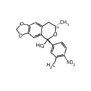 Cc1cc(C2(O)O[C@@H](C)Cc3cc4c(cc32)OCO4)ccc1[N+](=O)[O-]